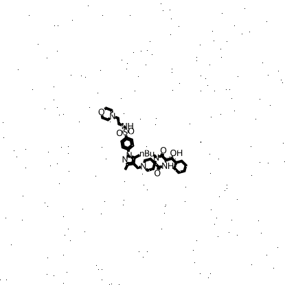 CCCCN1C(=O)[C@@H]([C@H](O)C2CCCCC2)NC(=O)C12CCN(Cc1c(C)nn(-c3ccc(S(=O)(=O)NCCN4CCOCC4)cc3)c1C)CC2